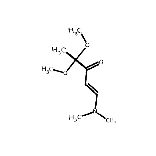 COC(C)(OC)C(=O)C=CN(C)C